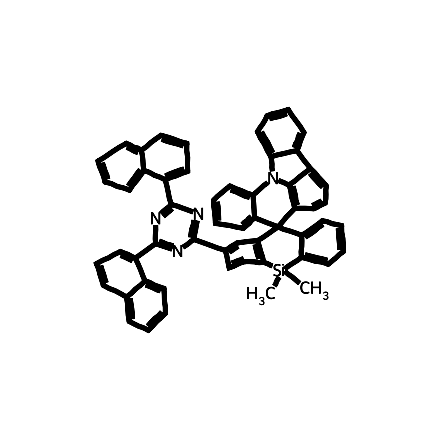 C[Si]1(C)c2ccccc2C2(c3ccccc3-n3c4ccccc4c4cccc2c43)c2cc(-c3nc(-c4cccc5ccccc45)nc(-c4cccc5ccccc45)n3)ccc21